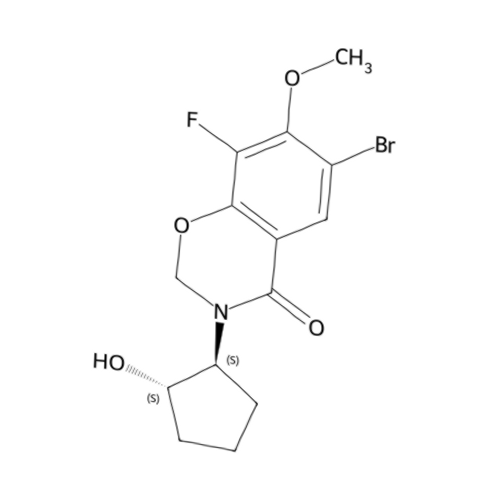 COc1c(Br)cc2c(c1F)OCN([C@H]1CCC[C@@H]1O)C2=O